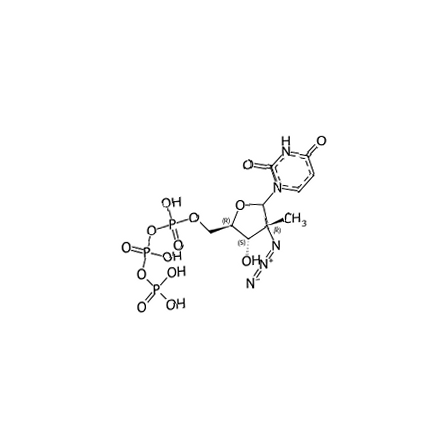 C[C@]1(N=[N+]=[N-])C(n2ccc(=O)[nH]c2=O)O[C@H](COP(=O)(O)OP(=O)(O)OP(=O)(O)O)[C@H]1O